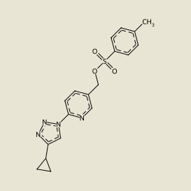 Cc1ccc(S(=O)(=O)OCc2ccc(-n3cc(C4CC4)nn3)nc2)cc1